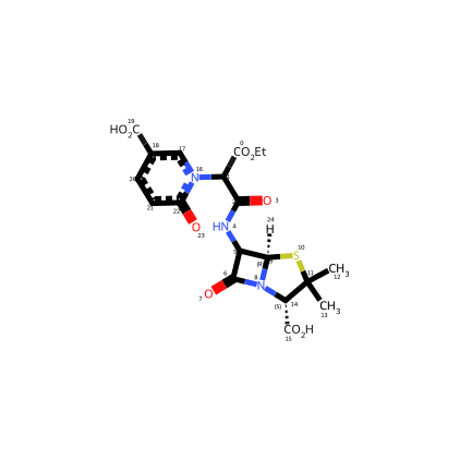 CCOC(=O)C(C(=O)NC1C(=O)N2[C@@H]1SC(C)(C)[C@@H]2C(=O)O)n1cc(C(=O)O)ccc1=O